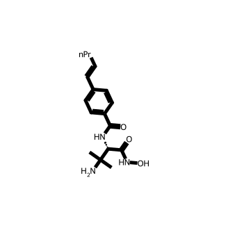 CCC/C=C/c1ccc(C(=O)N[C@H](C(=O)NO)C(C)(C)N)cc1